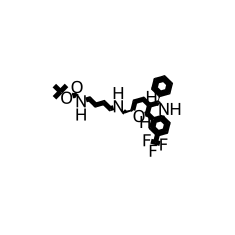 CC(C)(C)OC(=O)NCCCCNC[C@H]1CC[C@@H]2[C@H](O1)c1cc(C(F)(F)F)ccc1N[C@H]2c1ccccc1